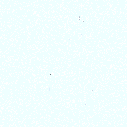 [CH2]n1cc(-c2ccnc(F)c2)c2cc(-c3cccc(NC(=O)C=C)c3)cnc21